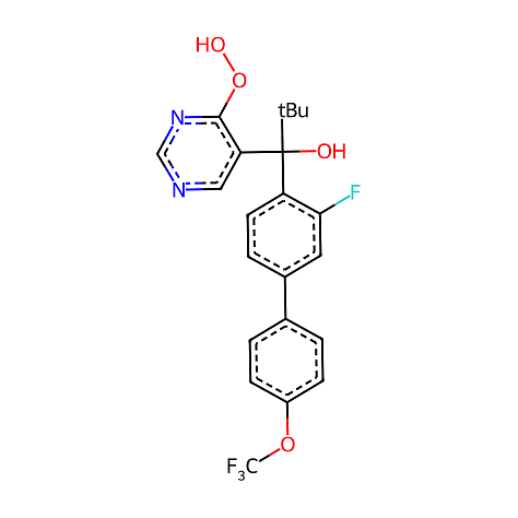 CC(C)(C)C(O)(c1ccc(-c2ccc(OC(F)(F)F)cc2)cc1F)c1cncnc1OO